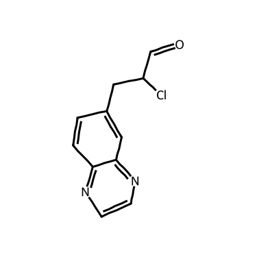 O=CC(Cl)Cc1ccc2nccnc2c1